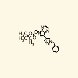 CC(C)(C)OC(=O)On1cc(-c2cn(Cc3ccccc3)nn2)c2nccnc21